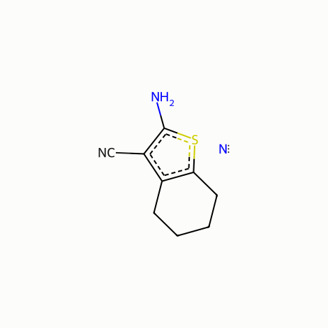 N#Cc1c(N)sc2c1CCCC2.[N]